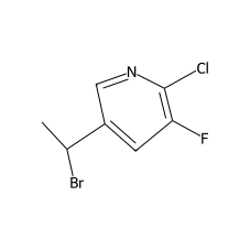 CC(Br)c1cnc(Cl)c(F)c1